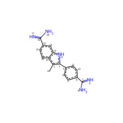 Cc1c(-c2ccc(C(=N)N)cc2)[nH]c2cc(C(=N)N)ccc12